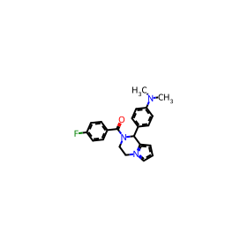 CN(C)c1ccc(C2c3cccn3CCN2C(=O)c2ccc(F)cc2)cc1